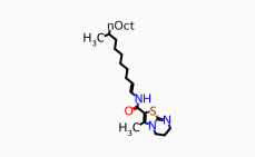 CCCCCCCCC(C)CCCCCC/C=C/NC(=O)C1=C(C)N2CCCN=C2S1